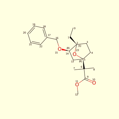 CC[C@]12CC[C@](C(C)(C)C(=O)OC)(C[C@H]1OCc1ccccc1)O2